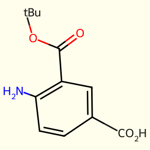 CC(C)(C)OC(=O)c1cc(C(=O)O)ccc1N